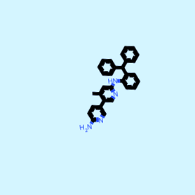 Cc1cc(Nc2ccccc2C(c2ccccc2)c2ccccc2)ncc1-c1ccc(N)nc1